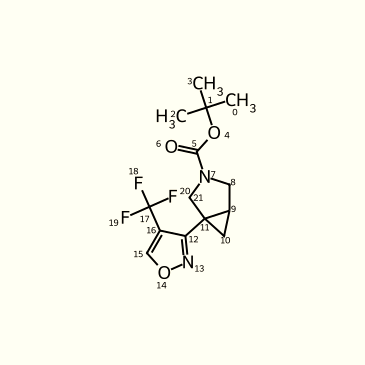 CC(C)(C)OC(=O)N1CC2CC2(c2nocc2C(F)(F)F)C1